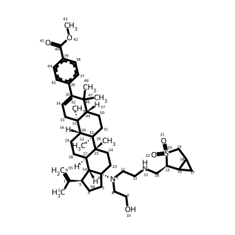 C=C(C)[C@@H]1CC[C@]2(N(CCO)CCNC[C@@H]3C4CC4CS3(=O)=O)CC[C@]3(C)[C@H](CC[C@@H]4[C@@]5(C)CC=C(c6ccc(C(=O)OC)cc6)C(C)(C)[C@@H]5CC[C@]43C)[C@@H]12